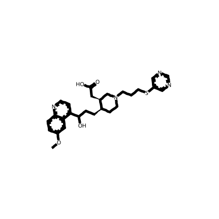 COc1ccc2nccc(C(O)CC[C@@H]3CCN(CCCSc4cncnc4)C[C@@H]3CC(=O)O)c2c1